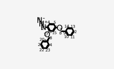 [N-]=[N+]=Nc1ccc(OCc2ccccc2)cc1OCc1ccccc1